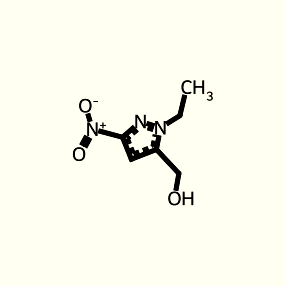 CCn1nc([N+](=O)[O-])cc1CO